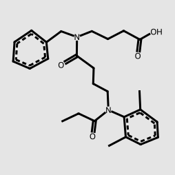 CCC(=O)N(CCCC(=O)N(CCCC(=O)O)Cc1ccccc1)c1c(C)cccc1C